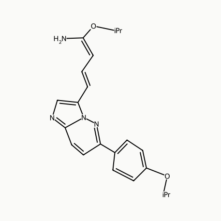 CC(C)O/C(N)=C/C=C/c1cnc2ccc(-c3ccc(OC(C)C)cc3)nn12